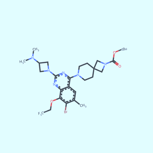 Cc1cc2c(N3CCC4(CC3)CN(C(=O)OC(C)(C)C)C4)nc(N3CC(N(C)C)C3)nc2c(OCC(F)(F)F)c1Br